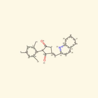 Cc1cc(C)c(C2C(=O)CC(=Cc3ccc4ccccc4n3)C2=O)c(C)c1